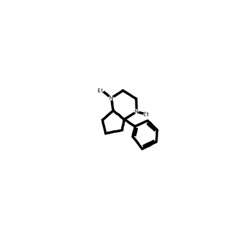 CCN1C[CH]N(CC)C2(c3ccccc3)CCCC12